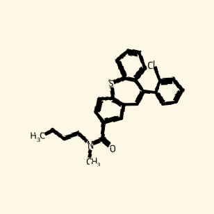 CCCCN(C)C(=O)c1ccc2c(c1)C=C(c1ccccc1Cl)c1ccccc1S2